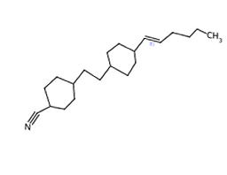 CCCC/C=C/C1CCC(CCC2CCC(C#N)CC2)CC1